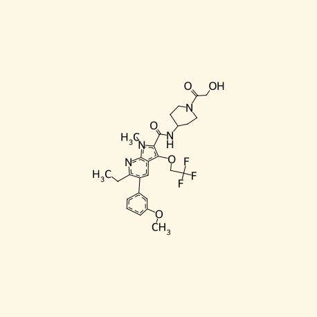 CCc1nc2c(cc1-c1cccc(OC)c1)c(OCC(F)(F)F)c(C(=O)NC1CCN(C(=O)CO)CC1)n2C